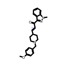 COc1ccc(CN2CCC(/C=C/C(=O)c3nn(C)c4ccccc34)CC2)cc1